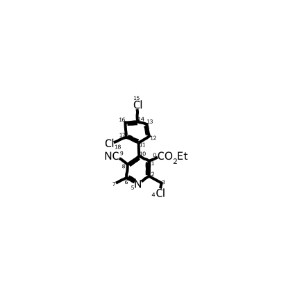 CCOC(=O)c1c(CCl)nc(C)c(C#N)c1-c1ccc(Cl)cc1Cl